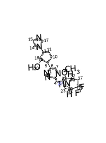 CO[C@@H]1/C(=C\c2ncc(-c3ccc(-n4ccnc4)cc3O)nn2)C[C@H]2N[C@@H]1CC2(F)F